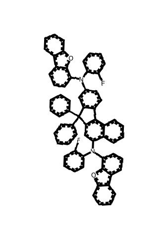 Fc1ccccc1N(c1ccc2c(c1)C(c1ccccc1)(c1ccccc1)c1cc(N(c3ccccc3F)c3cccc4c3oc3ccccc34)c3ccccc3c1-2)c1cccc2c1oc1ccccc12